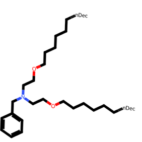 CCCCCCCCCCCCCCCCOCCN(CCOCCCCCCCCCCCCCCCC)Cc1ccccc1